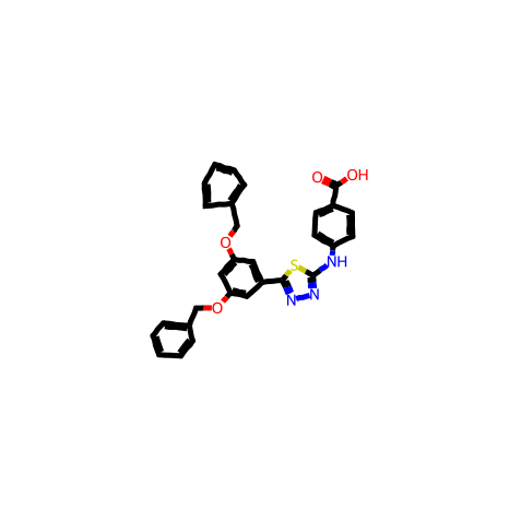 O=C(O)c1ccc(Nc2nnc(-c3cc(OCc4ccccc4)cc(OCc4ccccc4)c3)s2)cc1